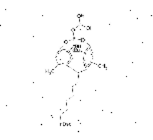 CCCCCCCCCCCCCCCCC1c2cc(C(C)(C)C)c(cc2C)OP(OP(O)O)Oc2cc(C)c1cc2C(C)(C)C